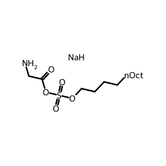 CCCCCCCCCCCCOS(=O)(=O)OC(=O)CN.[NaH]